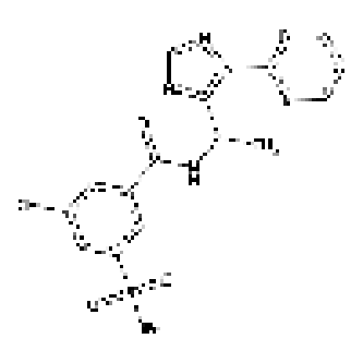 CC(NC(=O)c1cc(Cl)cc(S(=O)(=O)C(C)C)c1)c1ncnn1-c1ncccn1